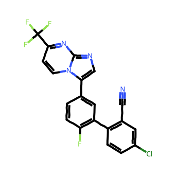 N#Cc1cc(Cl)ccc1-c1cc(-c2cnc3nc(C(F)(F)F)ccn23)ccc1F